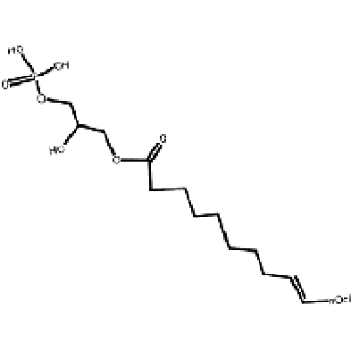 CCCCCCCC/C=C/CCCCCCCC(=O)OCC(O)COP(=O)(O)O